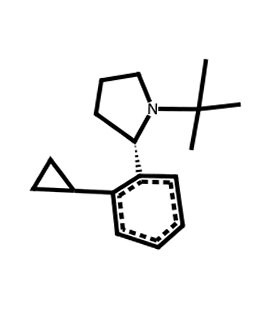 CC(C)(C)N1CCC[C@H]1c1ccccc1C1CC1